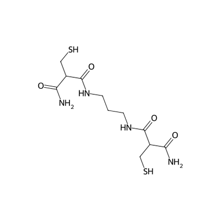 NC(=O)C(CS)C(=O)NCCCNC(=O)C(CS)C(N)=O